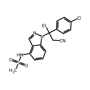 CCC(CC#N)(c1ccc(Cl)cc1)n1ncc2c(NS(C)(=O)=O)cccc21